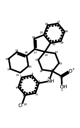 O=C(O)C1(Nc2cccc(Cl)c2)CCC2(CC1)C(C1=CCCCC1)=Cc1ccccc12